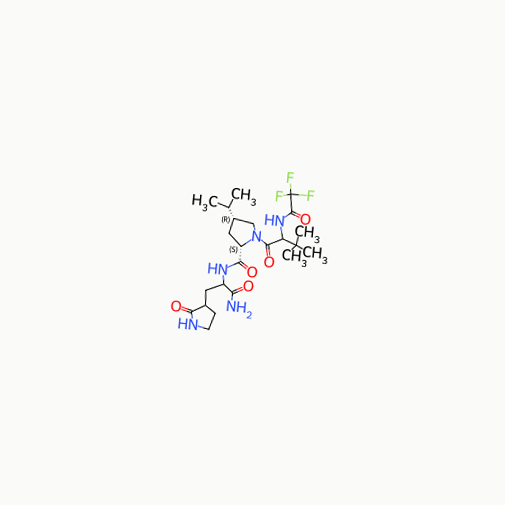 CC(C)[C@H]1C[C@@H](C(=O)NC(CC2CCNC2=O)C(N)=O)N(C(=O)C(NC(=O)C(F)(F)F)C(C)(C)C)C1